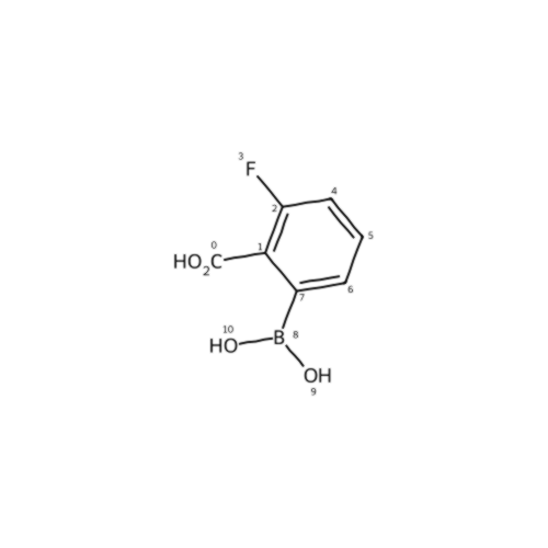 O=C(O)c1c(F)cccc1B(O)O